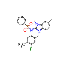 Cc1ccc2c(c1)n(C)c(=NS(=O)(=O)c1ccccc1)n2Cc1ccc(C(F)(F)F)c(F)c1